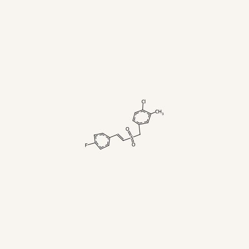 Cc1cc(CS(=O)(=O)C=Cc2ccc(F)cc2)ccc1Cl